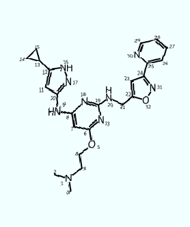 CN(C)CCOc1cc(Nc2cc(C3CC3)[nH]n2)nc(NCc2cc(-c3ccccn3)no2)n1